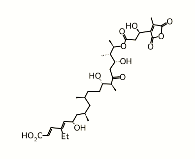 CCC(/C=C/C(=O)O)=C\[C@@H](O)C[C@H](C)C[C@@H](C)CC[C@H](O)[C@H](C)C(=O)C[C@@H](O)[C@H](C)[C@@H](C)OC(=O)C[C@@H](O)C1=C(C)C(=O)OC1=O